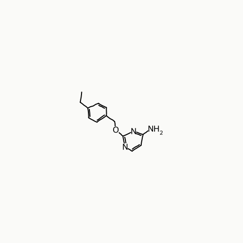 CCc1ccc(COc2nccc(N)n2)cc1